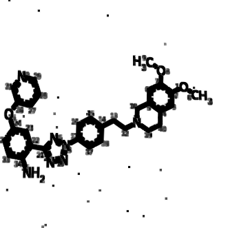 COc1cc2c(cc1OC)CN(CCc1ccc(-n3nnc(-c4cc(Oc5cccnc5)ccc4N)n3)cc1)CC2